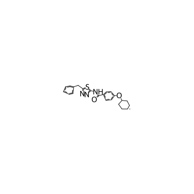 O=C(Nc1nnc(Cc2ccccc2)s1)c1ccc(OC2CC[CH]CC2)cc1